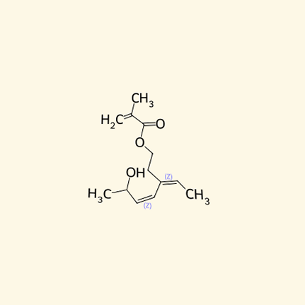 C=C(C)C(=O)OCCC(/C=C\C(C)O)=C/C